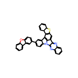 C1=CC2Sc3cc4c5nc6ccccc6nc5n5c6ccc(-c7ccc8oc9ccccc9c8c7)cc6c(c3C2C=C1)c45